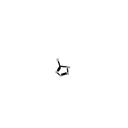 [O]c1nnn[nH]1